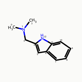 CN(C)Cc1cc2ccccc2[nH]1